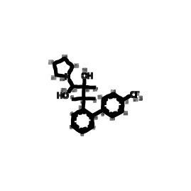 CC(C)(c1ccccc1-c1ccc(C(F)(F)F)cc1)C(C)(O)C(O)N1CCCC1